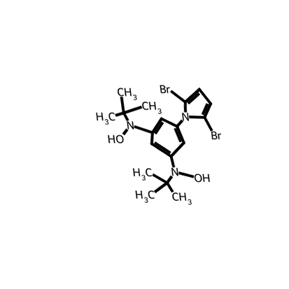 CC(C)(C)N(O)c1cc(N(O)C(C)(C)C)cc(-n2c(Br)ccc2Br)c1